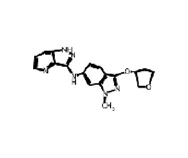 Cn1nc(O[C@H]2CCOC2)c2ccc(Nc3n[nH]c4cccnc34)cc21